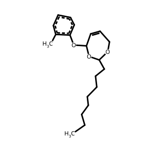 CCCCCCCCC1OCC=CC(Oc2ccccc2C)O1